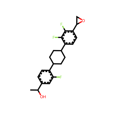 CC(O)c1ccc(C2CCC(c3ccc(C4CO4)c(F)c3F)CC2)c(F)c1